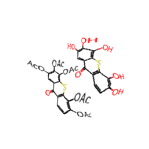 CC(=O)Oc1cc2c(=O)c3ccc(OC(C)=O)c(OC(C)=O)c3sc2c(OC(C)=O)c1OC(C)=O.O=c1c2ccc(O)c(O)c2sc2c(O)c(O)c(O)cc12